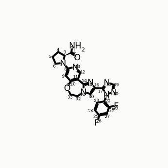 NC(=O)[C@@H]1CCCN1c1cc2c(cn1)-c1nc(-c3ncnn3-c3ccc(F)cc3F)cn1CCO2